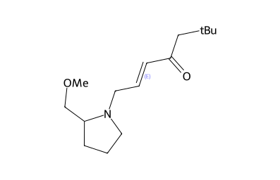 COCC1CCCN1C/C=C/C(=O)CC(C)(C)C